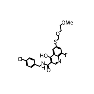 COCCOCSc1cc(F)c2ncc(C(=O)NCc3ccc(Cl)cc3)c(O)c2c1